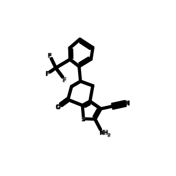 N#Cc1c(N)sc2c1CC(c1ccccc1C(F)(F)F)CC2=O